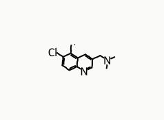 [CH2]c1c(Cl)ccc2ncc(CN(C)C)cc12